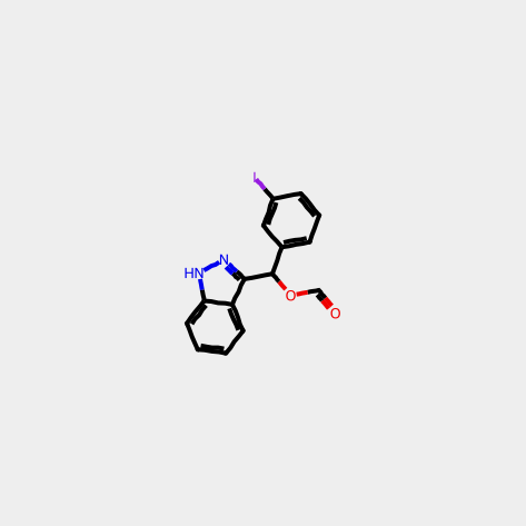 O=COC(c1cccc(I)c1)c1n[nH]c2ccccc12